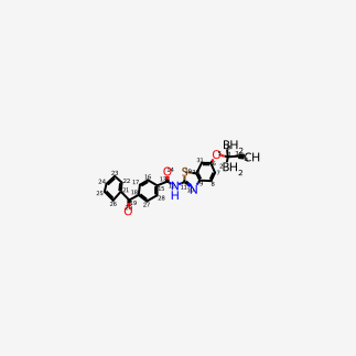 BC(B)(C#C)Oc1ccc2nc(NC(=O)c3ccc(C(=O)c4ccccc4)cc3)sc2c1